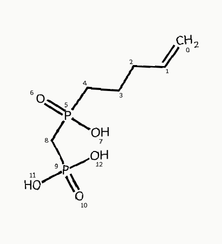 C=CCCCP(=O)(O)CP(=O)(O)O